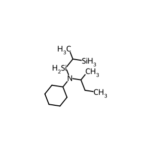 CCC(C)N([SiH2]C(C)[SiH3])C1CCCCC1